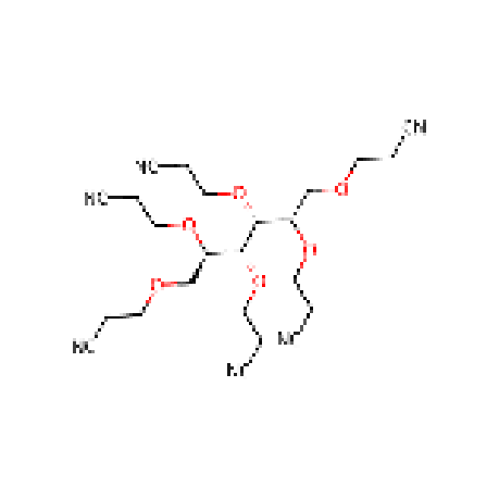 N#CCCOC[C@H](OCCC#N)[C@@H](OCCC#N)[C@H](OCCC#N)[C@@H](COCCC#N)OCCC#N